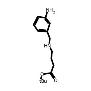 CC(C)(C)OC(=O)CCCNCc1cccc(N)c1